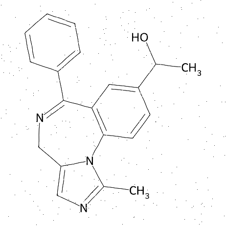 Cc1ncc2n1-c1ccc(C(C)O)cc1C(c1ccccc1)=NC2